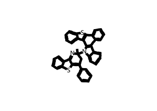 CC1(n2c3ccccc3c3c4ccccc4c4sc5ccccc5c4c32)CC(c2ccccc2)=c2sc3ccccc3c2=N1